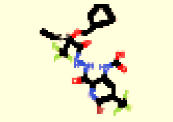 C=CC[C@](OCc1ccccc1)(C(=O)NNC(=O)c1nc(Br)c(C(F)(F)F)cc1NC(=O)O)C(F)(F)F